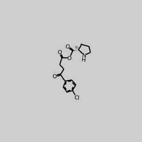 O=C(CCC(=O)c1ccc(Cl)cc1)OC(=O)[C@@H]1CCCN1